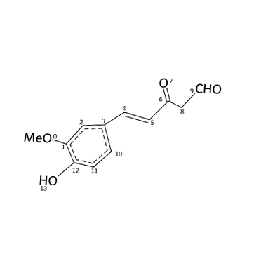 COc1cc(C=CC(=O)CC=O)ccc1O